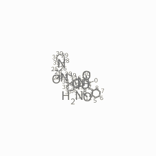 Cc1c(-c2ccccc2)c(C(N)=O)c(C)n(CC2(O)CCN(C(=O)C(C)CN3CCCCC3)CC23CCCC3)c1=O